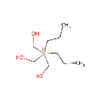 CCC[SH](CO)(CO)(CO)CCC